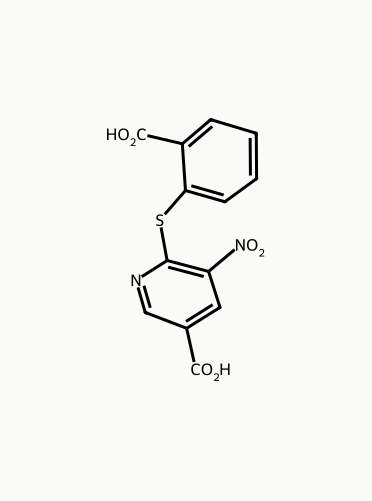 O=C(O)c1cnc(Sc2ccccc2C(=O)O)c([N+](=O)[O-])c1